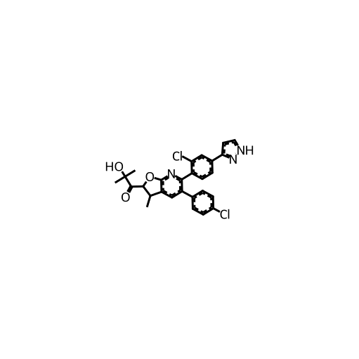 CC1c2cc(-c3ccc(Cl)cc3)c(-c3ccc(-c4cc[nH]n4)cc3Cl)nc2OC1C(=O)C(C)(C)O